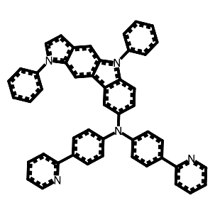 c1ccc(-n2ccc3cc4c(cc32)c2cc(N(c3ccc(-c5ccccn5)cc3)c3ccc(-c5ccccn5)cc3)ccc2n4-c2ccccc2)cc1